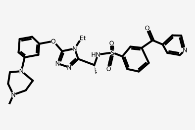 CCn1c(Oc2cccc(N3CCN(C)CC3)c2)nnc1[C@@H](C)NS(=O)(=O)c1cccc(C(=O)c2ccncc2)c1